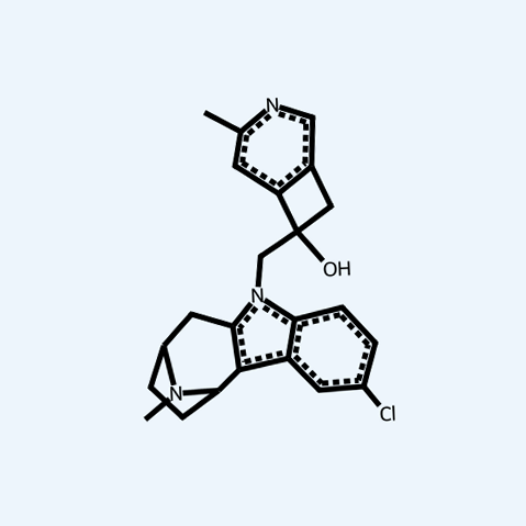 Cc1cc2c(cn1)CC2(O)Cn1c2c(c3cc(Cl)ccc31)C1CCC(C2)N1C